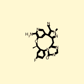 C[C@H]1Oc2cc(cnc2N)-c2c(nn(C)c2C#N)Cc2ncnc(=O)n2-c2ccc(F)cc21